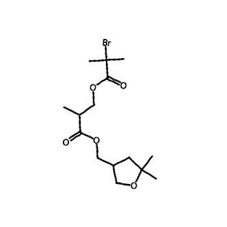 CC(COC(=O)C(C)(C)Br)C(=O)OCC1COC(C)(C)C1